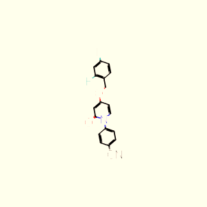 N#Cc1ccc(-n2ccc(OCc3ccc(F)cc3F)cc2=O)cc1